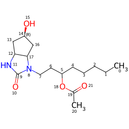 CCCCCC(CCN1C(=O)NC2C[C@@H](O)CC21)OC(C)=O